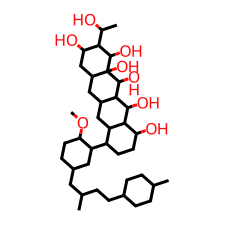 COC1CCC(CC(C)CCC2CCC(C)CC2)CC1C1CCC(O)C2C(O)C3C(CC12)CC1CC(O)C(C(C)O)C(O)C1(O)C3O